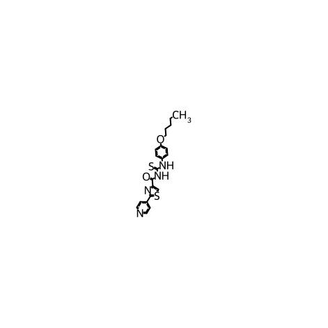 CCCCCOc1ccc(NC(=S)NC(=O)c2csc(-c3ccncc3)n2)cc1